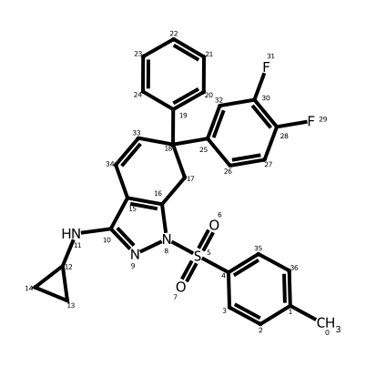 Cc1ccc(S(=O)(=O)n2nc(NC3CC3)c3c2CC(c2ccccc2)(c2ccc(F)c(F)c2)C=C3)cc1